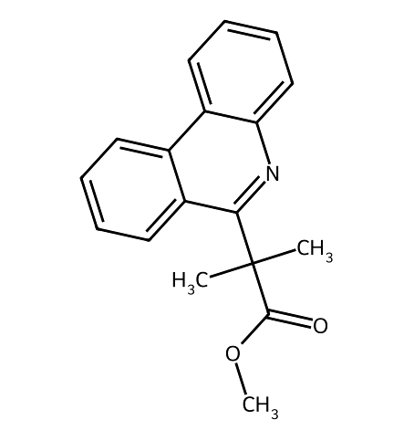 COC(=O)C(C)(C)c1nc2ccccc2c2ccccc12